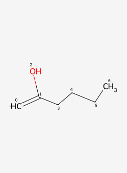 [CH]=C(O)CCCC